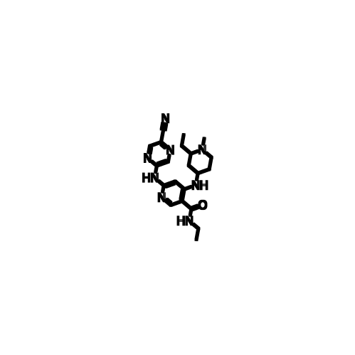 CCNC(=O)c1cnc(Nc2cnc(C#N)cn2)cc1NC1CCN(C)C(CC)C1